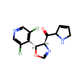 O=C(C1C=CCN1)[C@H]1N=CO[C@@H]1c1c(Cl)cncc1Cl